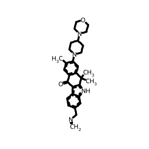 C=NCc1ccc2c3c([nH]c2c1)C(C)(C)c1cc(N2CCC(N4CCOCC4)CC2)c(C)cc1C3=O